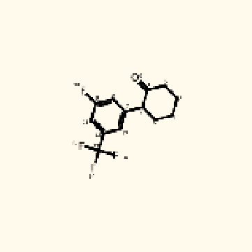 O=C1CCCCC1c1cc(F)cc(C(F)(F)F)c1